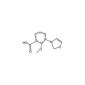 COc1c(C(=O)O)cccc1N1C=COC1